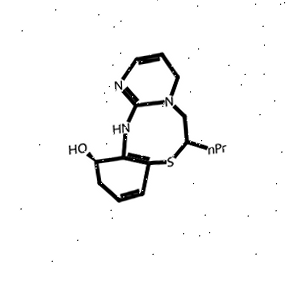 CCCC1CN2CC=CN=C2NC2=C(C=CC[C@H]2O)S1